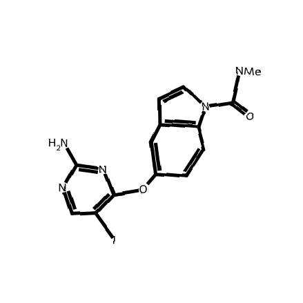 CNC(=O)n1ccc2cc(Oc3nc(N)ncc3I)ccc21